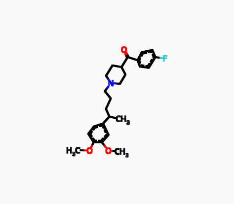 COc1ccc(C(C)CCCN2CCC(C(=O)c3ccc(F)cc3)CC2)cc1OC